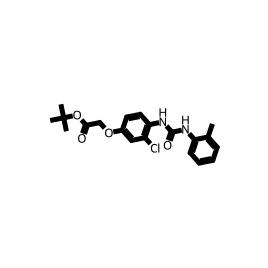 Cc1ccccc1NC(=O)Nc1ccc(OCC(=O)OC(C)(C)C)cc1Cl